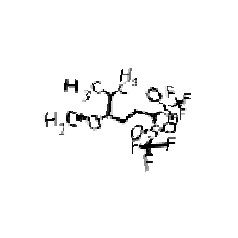 C=COC(CCC(S(=O)(=O)C(F)(F)F)S(=O)(=O)C(F)(F)F)C(C)C